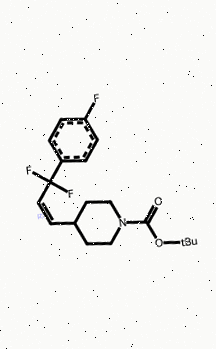 CC(C)(C)OC(=O)N1CCC(/C=C\C(F)(F)c2ccc(F)cc2)CC1